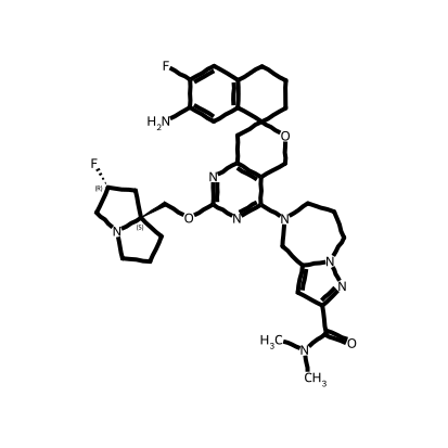 CN(C)C(=O)c1cc2n(n1)CCCN(c1nc(OC[C@@]34CCCN3C[C@H](F)C4)nc3c1COC1(CCCc4cc(F)c(N)cc41)C3)C2